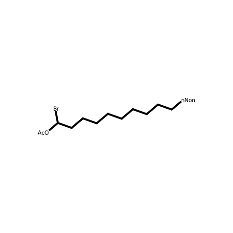 CCCCCCCCCCCCCCCCCCC(Br)OC(C)=O